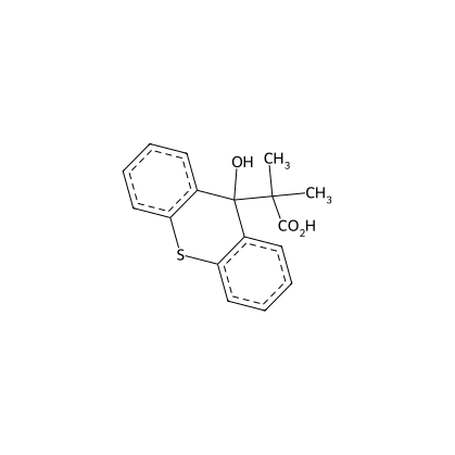 CC(C)(C(=O)O)C1(O)c2ccccc2Sc2ccccc21